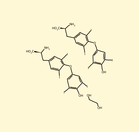 N[C@@H](Cc1cc(I)c(Oc2cc(I)c(O)c(I)c2)c(I)c1)C(=O)O.N[C@@H](Cc1cc(I)c(Oc2cc(I)c(O)c(I)c2)c(I)c1)C(=O)O.OCCO